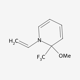 C=CN1C=CC=CC1(OC)C(F)(F)F